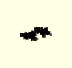 Cc1cc(NCC(O)c2cc(Cl)c(N)c(Cl)c2)cc(C)c1Sc1ccc(Cl)cc1.Cl